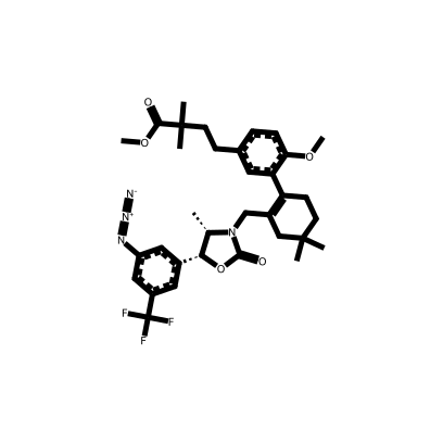 COC(=O)C(C)(C)CCc1ccc(OC)c(C2=C(CN3C(=O)O[C@H](c4cc(N=[N+]=[N-])cc(C(F)(F)F)c4)[C@@H]3C)CC(C)(C)CC2)c1